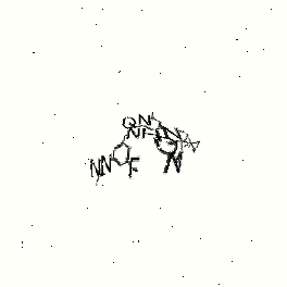 Cc1cn(-c2cc(F)cc(CNC(=O)c3cc(N4CC[C@@](C#N)(C5CC5)C4=O)cc(C)n3)c2)cn1